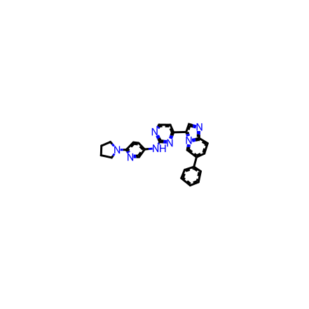 c1ccc(-c2ccc3ncc(-c4ccnc(Nc5ccc(N6CCCC6)nc5)n4)n3c2)cc1